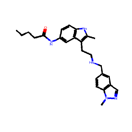 CCCCC(=O)Nc1ccc2[nH]c(C)c(CCNCc3ccc4c(cnn4C)c3)c2c1